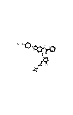 C[Si](C)(C)CCOCN1C(=O)CC[C@@H]1COc1cc2nn([C@H]3CC[C@H](C=O)CC3)cc2cc1NC(=O)c1ccccn1